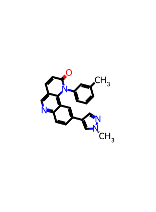 Cc1cccc(-n2c(=O)ccc3cnc4ccc(-c5cnn(C)c5)cc4c32)c1